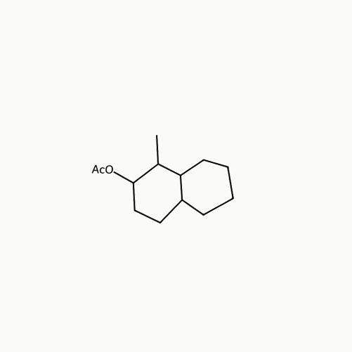 CC(=O)OC1CCC2CCCCC2C1C